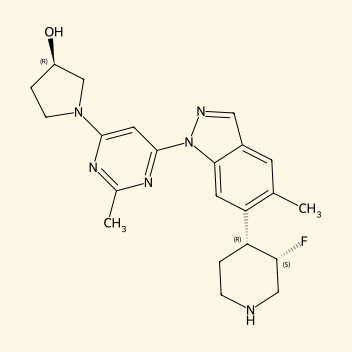 Cc1nc(N2CC[C@@H](O)C2)cc(-n2ncc3cc(C)c([C@H]4CCNC[C@H]4F)cc32)n1